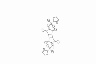 O=C1C2C(C(=O)N1OS(=O)(=O)c1cccs1)C1C(=O)N(OS(=O)(=O)c3cccs3)C(=O)C21